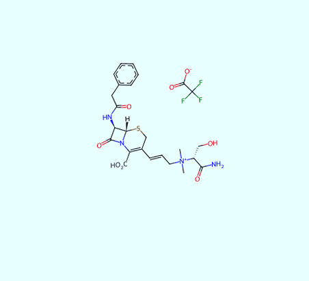 C[N+](C)(C/C=C/C1=C(C(=O)O)N2C(=O)[C@@H](NC(=O)Cc3ccccc3)[C@@H]2SC1)[C@H](CO)C(N)=O.O=C([O-])C(F)(F)F